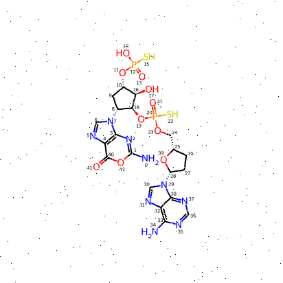 Nc1nc2c(ncn2[C@@H]2C[C@H](OP(=O)(O)S)[C@@H](O)[C@H]2OP(=O)(S)OC[C@@H]2CC[C@H](n3cnc4c(N)ncnc43)O2)c(=O)o1